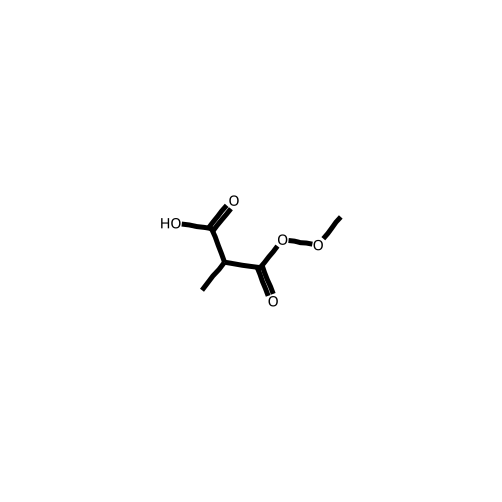 COOC(=O)C(C)C(=O)O